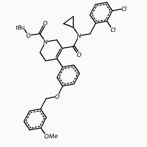 COc1cccc(COc2cccc(C3=C(C(=O)N(Cc4cccc(Cl)c4Cl)C4CC4)CN(C(=O)OC(C)(C)C)CC3)c2)c1